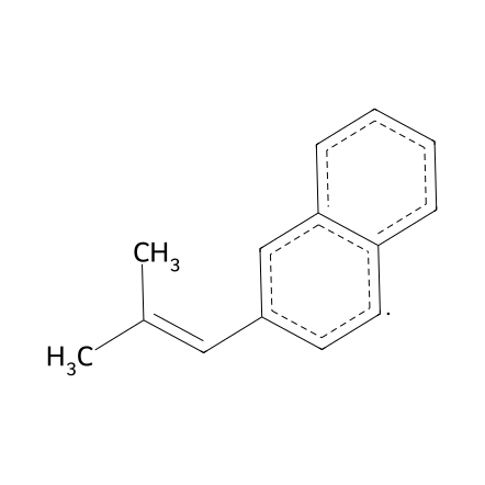 CC(C)=Cc1c[c]c2ccccc2c1